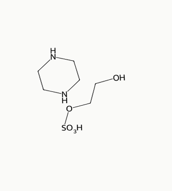 C1CNCCN1.O=S(=O)(O)OCCO